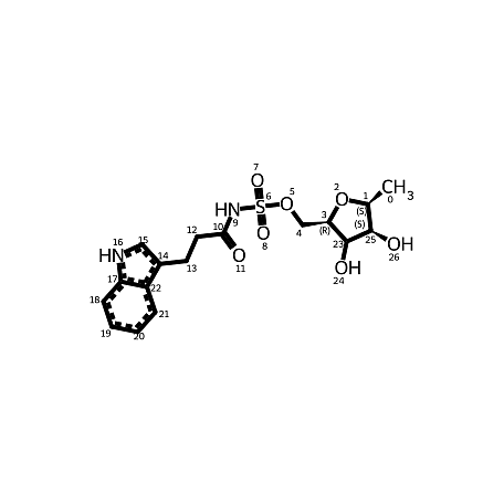 C[C@@H]1O[C@H](COS(=O)(=O)NC(=O)CCc2c[nH]c3ccccc23)C(O)[C@@H]1O